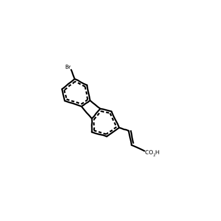 O=C(O)/C=C/c1ccc2c(c1)-c1cc(Br)ccc1-2